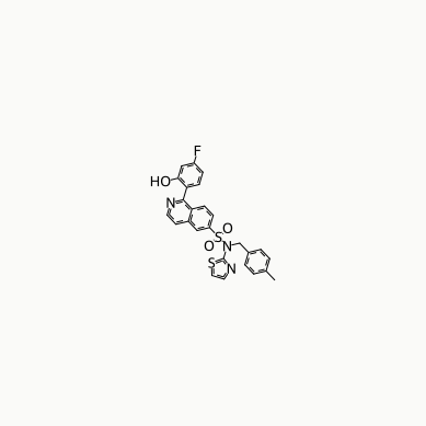 Cc1ccc(CN(c2nccs2)S(=O)(=O)c2ccc3c(-c4ccc(F)cc4O)nccc3c2)cc1